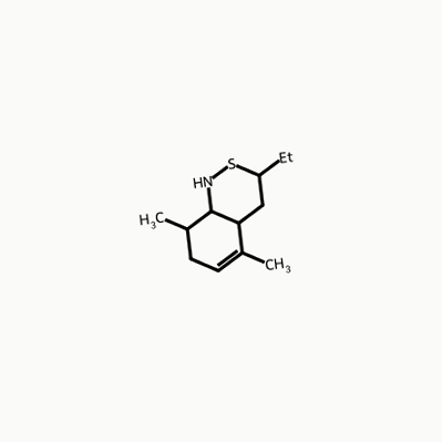 CCC1CC2C(C)=CCC(C)C2NS1